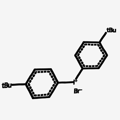 CC(C)(C)c1ccc([I+]c2ccc(C(C)(C)C)cc2)cc1.[Br-]